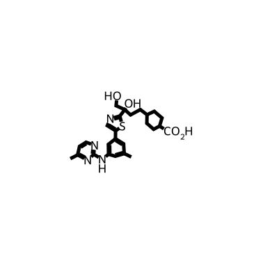 Cc1cc(Nc2nccc(C)n2)cc(-c2cnc(C(O)(CO)CCC3CCC(C(=O)O)CC3)s2)c1